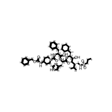 CCCS(=O)(=O)NC[C@@H](C[C@H](O)[C@H](CC1CCCCC1)NC(=O)[C@H](Cc1c[nH]cn1)NC(=O)[C@H](Cc1ccccc1)NC(=O)N1CCC(NC(=O)OCc2ccccc2)CC1)C(C)C